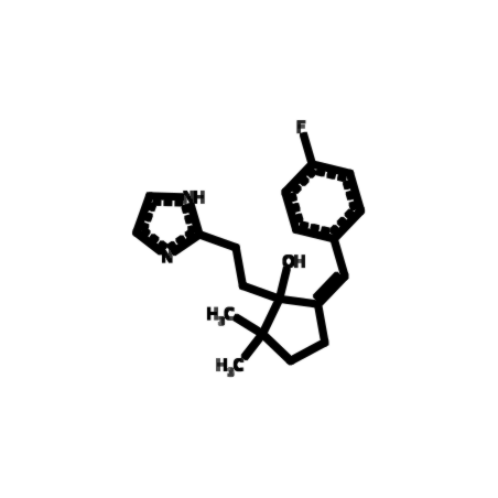 CC1(C)CCC(=Cc2ccc(F)cc2)C1(O)CCc1ncc[nH]1